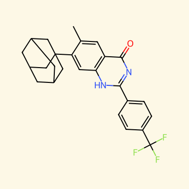 Cc1cc2c(=O)nc(-c3ccc(C(F)(F)F)cc3)[nH]c2cc1C12CC3CC(CC(C3)C1)C2